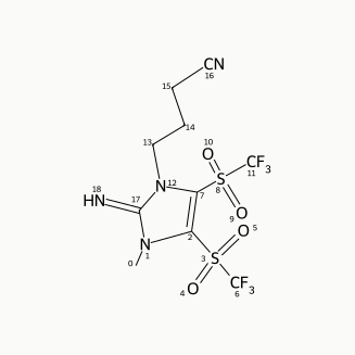 Cn1c(S(=O)(=O)C(F)(F)F)c(S(=O)(=O)C(F)(F)F)n(CCCC#N)c1=N